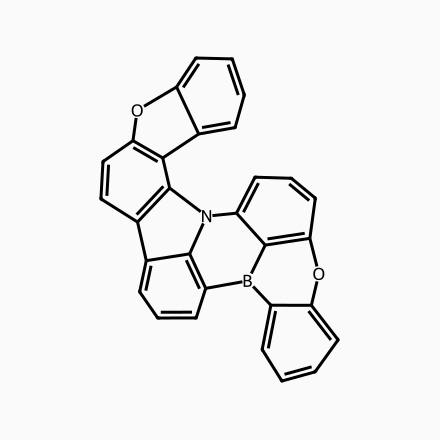 c1ccc2c(c1)Oc1cccc3c1B2c1cccc2c4ccc5oc6ccccc6c5c4n-3c12